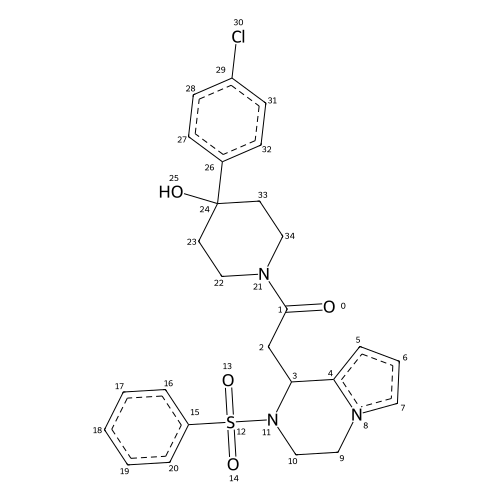 O=C(CC1c2cccn2CCN1S(=O)(=O)c1ccccc1)N1CCC(O)(c2ccc(Cl)cc2)CC1